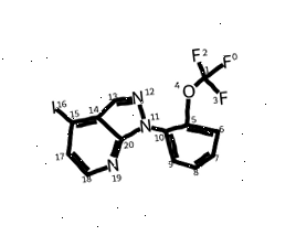 FC(F)(F)Oc1ccccc1-n1ncc2c(I)ccnc21